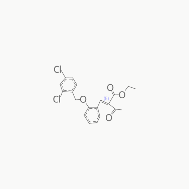 CCOC(=O)/C(=C/c1ccccc1OCc1ccc(Cl)cc1Cl)C(C)=O